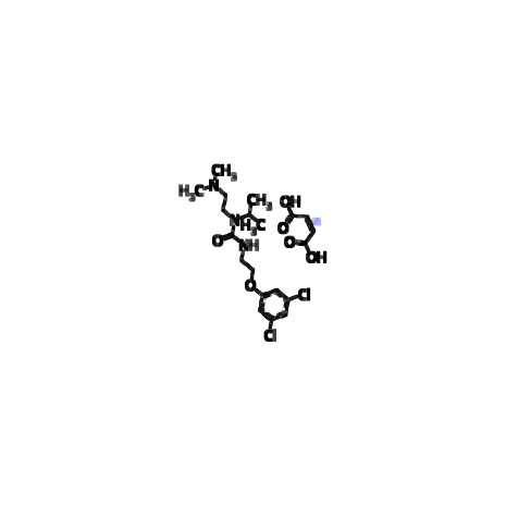 CC(C)N(CCN(C)C)C(=O)NCCOc1cc(Cl)cc(Cl)c1.O=C(O)/C=C\C(=O)O